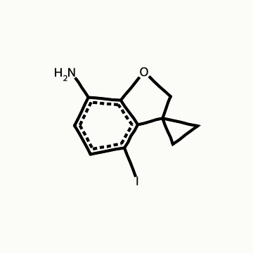 Nc1ccc(I)c2c1OCC21CC1